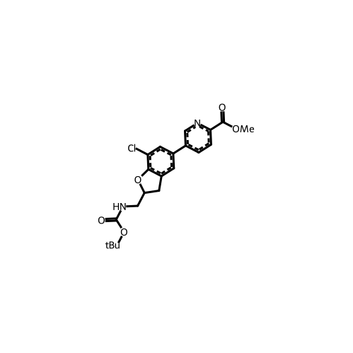 COC(=O)c1ccc(-c2cc(Cl)c3c(c2)CC(CNC(=O)OC(C)(C)C)O3)cn1